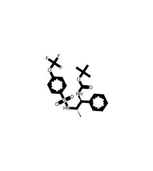 C[C@H](NS(=O)(=O)c1ccc(OC(F)(F)F)cc1)[C@@H](NC(=O)OC(C)(C)C)c1ccccc1